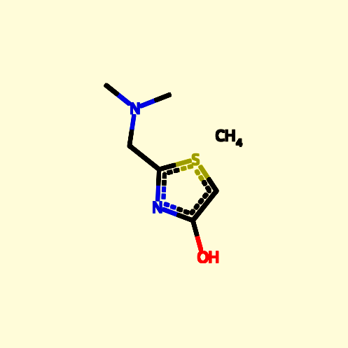 C.CN(C)Cc1nc(O)cs1